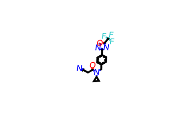 N#CCC(=O)N(Cc1ccc(-c2noc(C(F)(F)F)n2)cc1)C1CC1